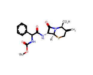 C=C1CS[C@H]2[C@H](NC(=O)C(NC(=O)OC(C)(C)C)c3ccccc3)C(=O)N2[C@H]1C(=O)O